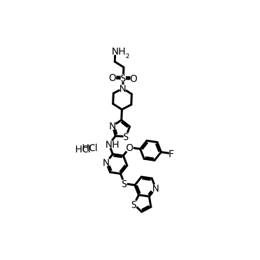 Cl.Cl.NCCS(=O)(=O)N1CCC(c2csc(Nc3ncc(Sc4ccnc5ccsc45)cc3Oc3ccc(F)cc3)n2)CC1